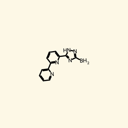 Bc1n[nH]c(-c2cccc(-c3ccccn3)n2)n1